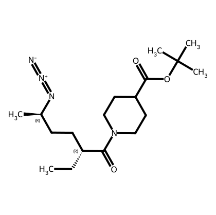 CC[C@H](CC[C@@H](C)N=[N+]=[N-])C(=O)N1CCC(C(=O)OC(C)(C)C)CC1